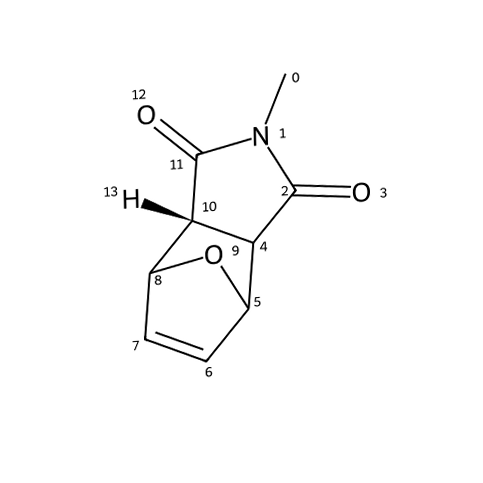 CN1C(=O)C2C3C=CC(O3)[C@@H]2C1=O